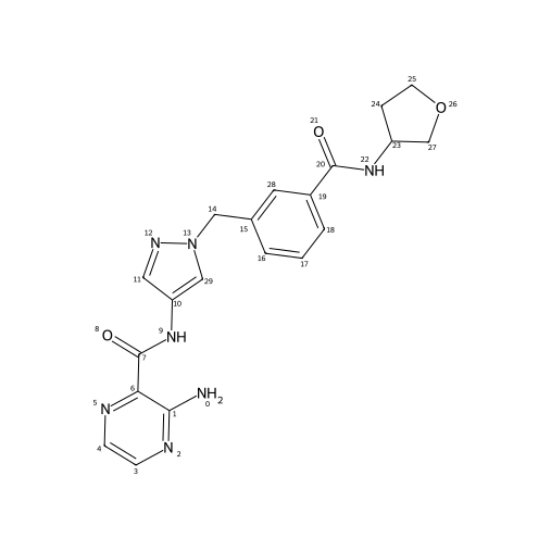 Nc1nccnc1C(=O)Nc1cnn(Cc2cccc(C(=O)NC3CCOC3)c2)c1